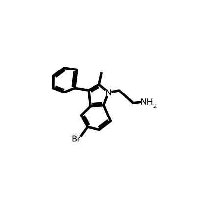 Cc1c(-c2ccccc2)c2cc(Br)ccc2n1CCN